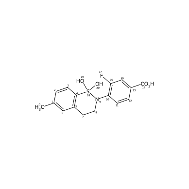 Cc1ccc2c(c1)CCN(c1ccc(C(=O)O)cc1F)S2(O)O